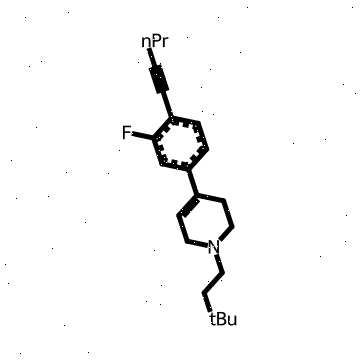 CCCC#Cc1ccc(C2=CCN(CCC(C)(C)C)CC2)cc1F